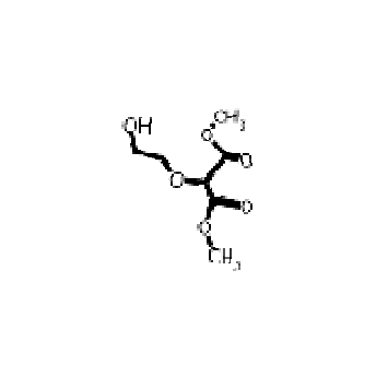 COC(=O)C(OCCO)C(=O)OC